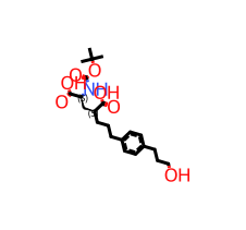 CC(C)(C)OC(=O)N[C@@H](C[C@H](CCCc1ccc(CCCO)cc1)C(=O)O)C(=O)O